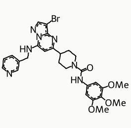 COc1cc(NC(=O)N2CCC(c3cc(NCc4cccnc4)n4ncc(Br)c4n3)CC2)cc(OC)c1OC